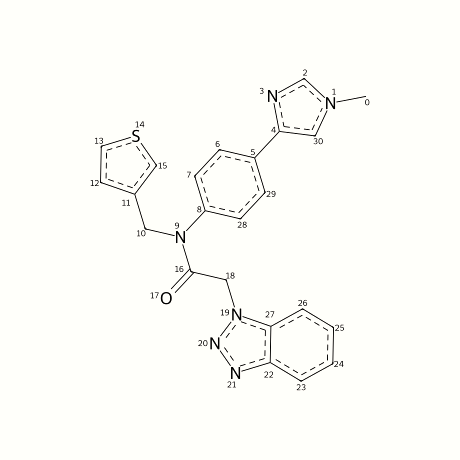 Cn1cnc(-c2ccc(N(Cc3ccsc3)C(=O)Cn3nnc4ccccc43)cc2)c1